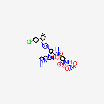 CC(=O)N1CCO[C@@H](CNc2ccc(S(=O)(=O)NC(=O)c3ccc(N4CCN(CC5=C(c6ccc(Cl)cc6)CC(C)(C)CC5)CC4)cc3-n3ncc4nc5[nH]ccc5cc43)cc2[N+](=O)[O-])C1